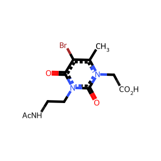 CC(=O)NCCn1c(=O)c(Br)c(C)n(CC(=O)O)c1=O